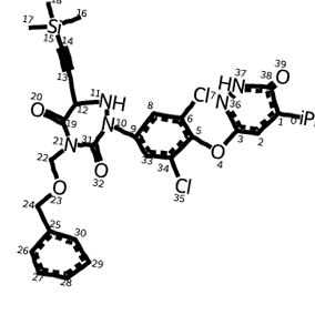 CC(C)c1cc(Oc2c(Cl)cc(N3NC(C#C[Si](C)(C)C)C(=O)N(COCc4ccccc4)C3=O)cc2Cl)n[nH]c1=O